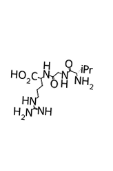 CC(C)[C@H](N)C(=O)NCC(=O)N[C@@H](CCCNC(=N)N)C(=O)O